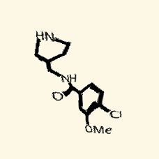 COc1cc(C(=O)NCC2CCNCC2)ccc1Cl